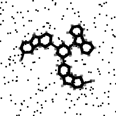 Fc1ccc2oc3ccc(-c4nc(-c5ccc6oc7ccc(F)cc7c6c5)nc(-n5c6ccccc6c6ccccc65)n4)cc3c2c1